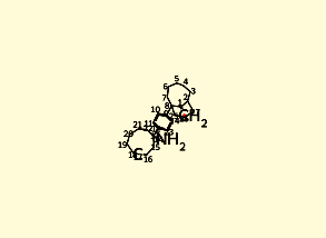 C=C1C2CCCCCC1(c1ccc(C3(N)CCCCCCCC3)cc1)CCC2